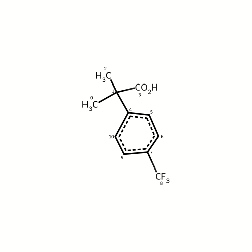 CC(C)(C(=O)O)c1ccc(C(F)(F)F)cc1